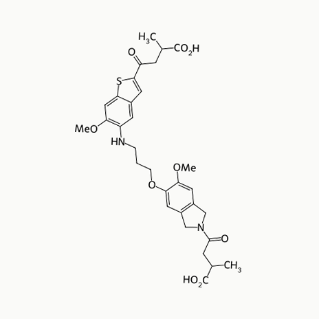 COc1cc2sc(C(=O)CC(C)C(=O)O)cc2cc1NCCCOc1cc2c(cc1OC)CN(C(=O)CC(C)C(=O)O)C2